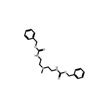 CN(CCNC(=O)OCc1ccccc1)CCNC(=O)OCc1ccccc1